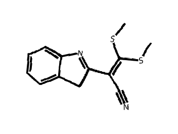 CSC(SC)=C(C#N)C1=Nc2ccccc2C1